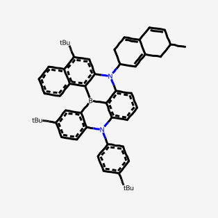 CC1C=CC2=CCC(N3c4cccc5c4B(c4cc(C(C)(C)C)ccc4N5c4ccc(C(C)(C)C)cc4)c4c3cc(C(C)(C)C)c3ccccc43)C=C2C1